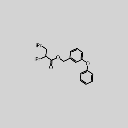 CC(C)CC(C(=O)OCc1cccc(Oc2ccccc2)c1)C(C)C